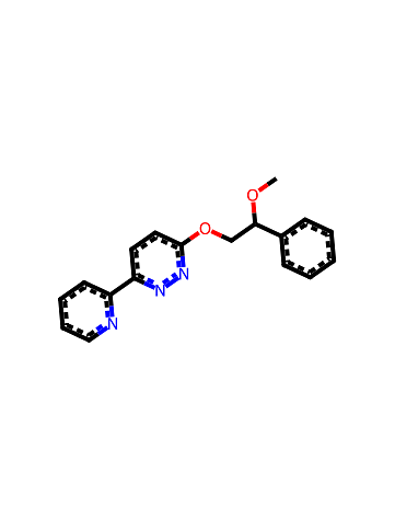 COC(COc1ccc(-c2ccccn2)nn1)c1ccccc1